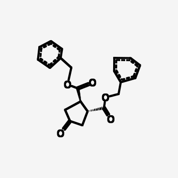 O=C1C[C@@H](C(=O)OCc2ccccc2)[C@H](C(=O)OCc2ccccc2)C1